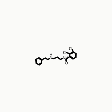 O=C(NCCCNCCc1ccccc1)c1cccc(Cl)c1Cl